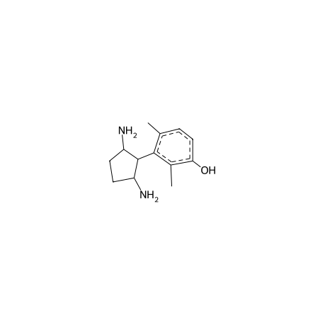 Cc1ccc(O)c(C)c1C1C(N)CCC1N